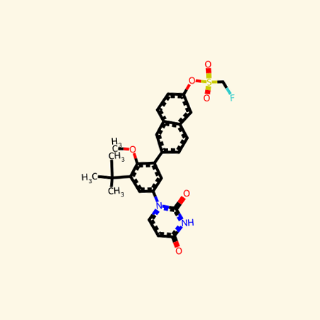 COc1c(-c2ccc3cc(OS(=O)(=O)CF)ccc3c2)cc(-n2ccc(=O)[nH]c2=O)cc1C(C)(C)C